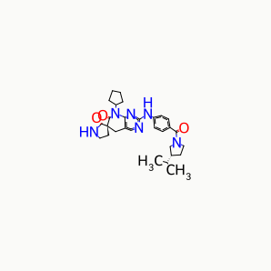 CC(C)[C@H]1CCN(C(=O)c2ccc(Nc3ncc4c(n3)N(C3CCCC3)C(=O)[C@]3(CCNC3=O)C4)cc2)C1